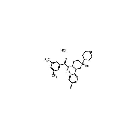 CC(=O)[N+]1(C2CCNCC2)CC[C@@H](N(C)C(=O)c2cc(C(F)(F)F)cc(C(F)(F)F)c2)[C@H](c2ccc(F)cc2)C1.Cl